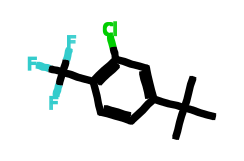 CC(C)(C)c1ccc(C(F)(F)F)c(Cl)c1